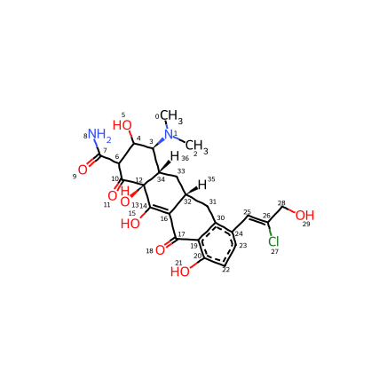 CN(C)[C@@H]1C(O)C(C(N)=O)C(=O)[C@@]2(O)C(O)=C3C(=O)c4c(O)ccc(/C=C(\Cl)CO)c4C[C@H]3C[C@@H]12